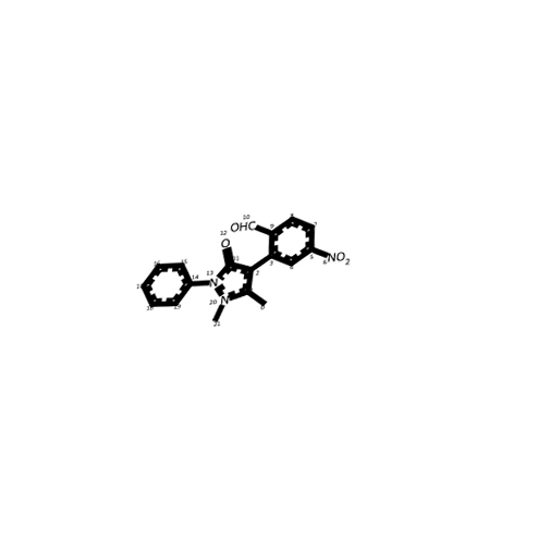 Cc1c(-c2cc([N+](=O)[O-])ccc2C=O)c(=O)n(-c2ccccc2)n1C